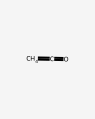 C.C=C=O